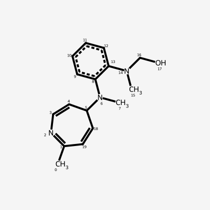 CC1=NC=CC(N(C)c2ccccc2N(C)CO)C=C1